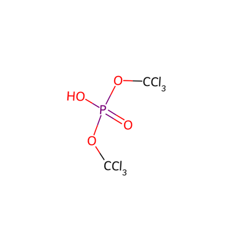 O=P(O)(OC(Cl)(Cl)Cl)OC(Cl)(Cl)Cl